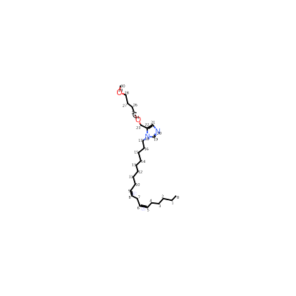 CCCCC/C=C\C/C=C\CCCCCCCCn1cncc1COCCCCOC